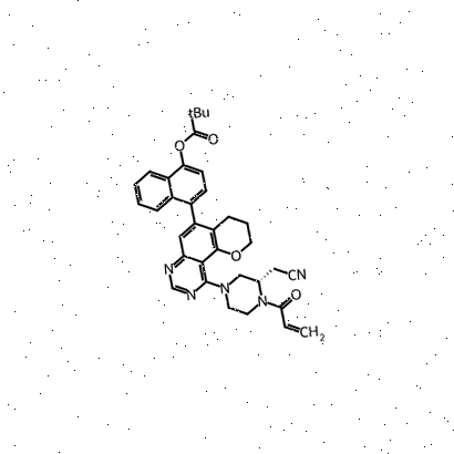 C=CC(=O)N1CCN(c2ncnc3cc(-c4ccc(OC(=O)C(C)(C)C)c5ccccc45)c4c(c23)OCCC4)C[C@@H]1CC#N